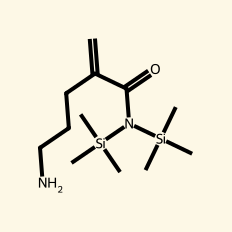 C=C(CCCN)C(=O)N([Si](C)(C)C)[Si](C)(C)C